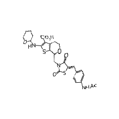 CC(=O)Nc1ccc(C=C2SC(=O)N(CC3OCCc4c3sc(NC3CCCCO3)c4C(=O)O)C2=O)cc1